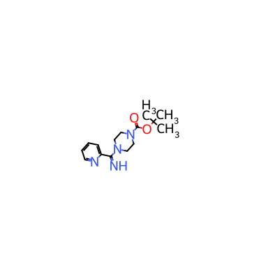 CC(C)(C)OC(=O)N1CCN(C(=N)c2ccccn2)CC1